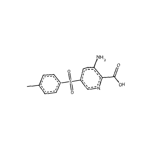 Cc1ccc(S(=O)(=O)c2cnc(C(=O)O)c(N)c2)cc1